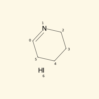 C1=NCCCC1.I